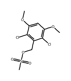 COc1cc(OC)c(Cl)c(COS(C)(=O)=O)c1Cl